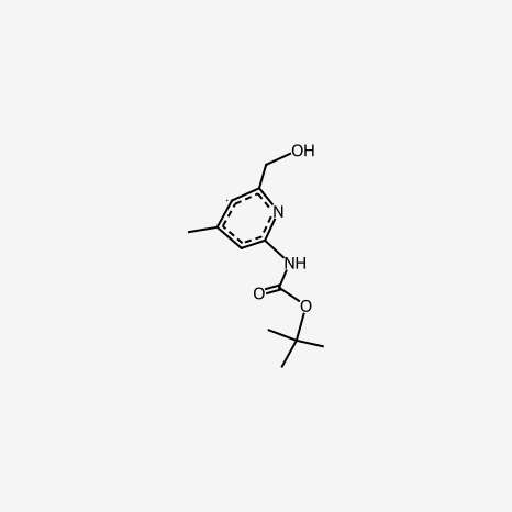 Cc1[c]c(CO)nc(NC(=O)OC(C)(C)C)c1